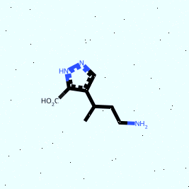 CC(CCN)c1cn[nH]c1C(=O)O